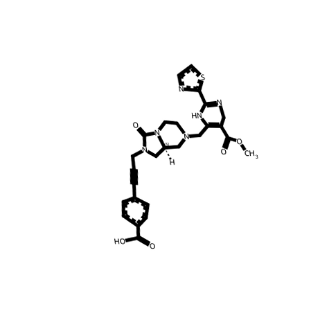 COC(=O)C1=C(CN2CCN3C(=O)N(CC#Cc4ccc(C(=O)O)cc4)C[C@@H]3C2)NC(c2nccs2)=NC1